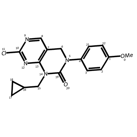 COc1ccc(N2Cc3cnc(Cl)nc3N(CC3CC3)C2=O)cc1